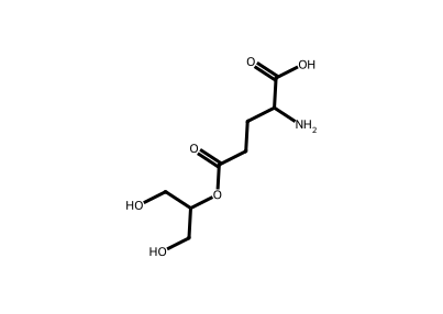 NC(CCC(=O)OC(CO)CO)C(=O)O